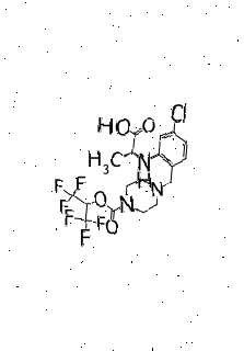 C[C@H](Nc1cc(Cl)ccc1CN1CCN(C(=O)OC(C(F)(F)F)C(F)(F)F)CC1)C(=O)O